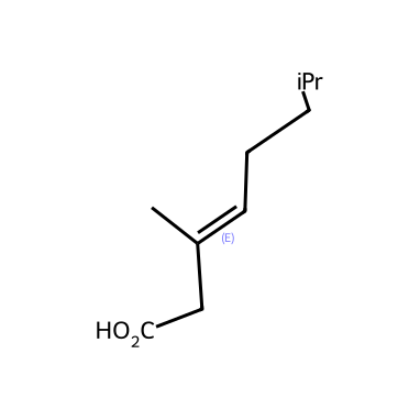 C/C(=C\CCC(C)C)CC(=O)O